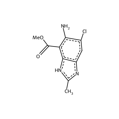 COC(=O)c1c(N)c(Cl)cc2nc(C)[nH]c12